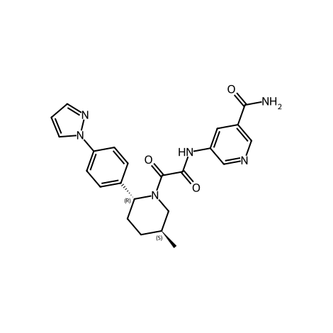 C[C@H]1CC[C@H](c2ccc(-n3cccn3)cc2)N(C(=O)C(=O)Nc2cncc(C(N)=O)c2)C1